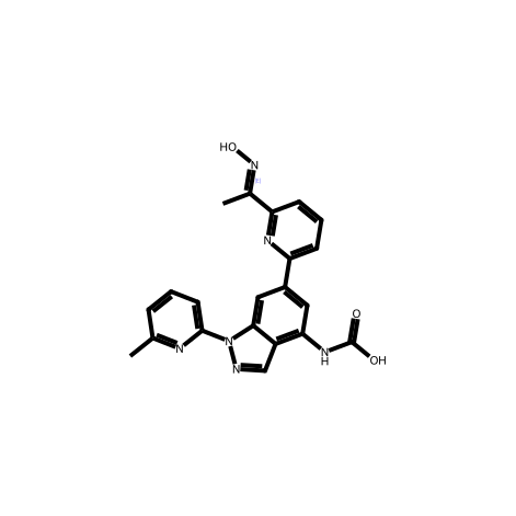 C/C(=N\O)c1cccc(-c2cc(NC(=O)O)c3cnn(-c4cccc(C)n4)c3c2)n1